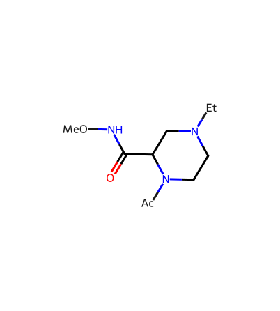 CCN1CCN(C(C)=O)C(C(=O)NOC)C1